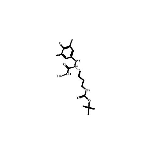 Cc1cc(N[C@H](CCCCNC(=O)OC(C)(C)C)C(=O)NO)cc(C)c1F